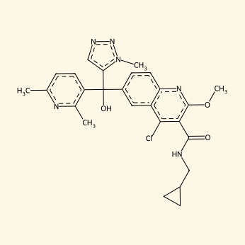 COc1nc2ccc(C(O)(c3ccc(C)nc3C)c3cnnn3C)cc2c(Cl)c1C(=O)NCC1CC1